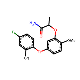 CSc1ccc(Oc2ccc(F)cc2C#N)cc1OC(C)C(N)=O